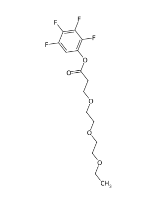 CCOCCOCCOCCC(=O)Oc1cc(F)c(F)c(F)c1F